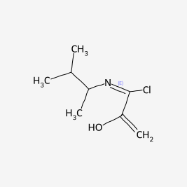 C=C(O)/C(Cl)=N\C(C)C(C)C